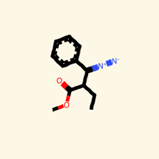 CCC(C(=O)OC)C(=[N+]=[N-])c1ccccc1